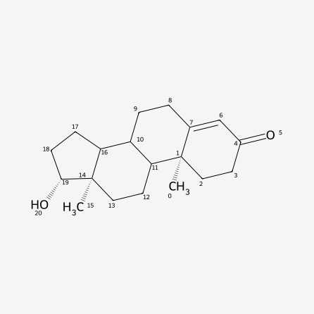 C[C@@]12CCC(=O)C=C1CCC1C2CC[C@]2(C)C1CC[C@H]2O